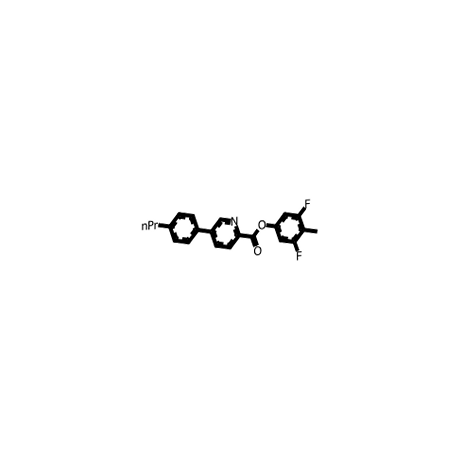 CCCc1ccc(-c2ccc(C(=O)Oc3cc(F)c(C)c(F)c3)nc2)cc1